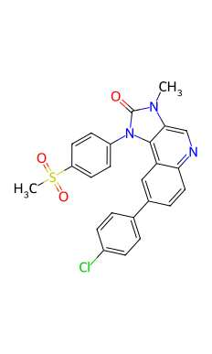 Cn1c(=O)n(-c2ccc(S(C)(=O)=O)cc2)c2c3cc(-c4ccc(Cl)cc4)ccc3ncc21